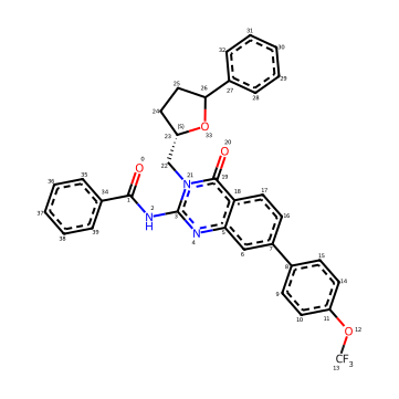 O=C(Nc1nc2cc(-c3ccc(OC(F)(F)F)cc3)ccc2c(=O)n1C[C@@H]1CCC(c2ccccc2)O1)c1ccccc1